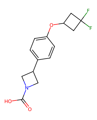 O=C(O)N1CC(c2ccc(OC3CC(F)(F)C3)cc2)C1